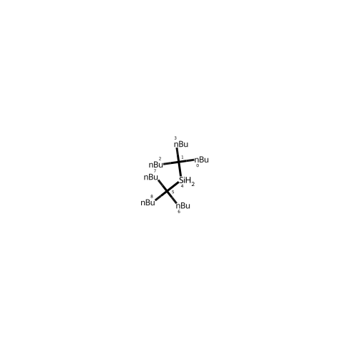 CCCCC(CCCC)(CCCC)[SiH2]C(CCCC)(CCCC)CCCC